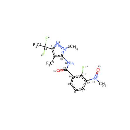 Cn1nc(C(F)(F)C(F)(F)F)c(C(F)(F)F)c1NC(=O)c1cccc([N+](C)=O)c1F